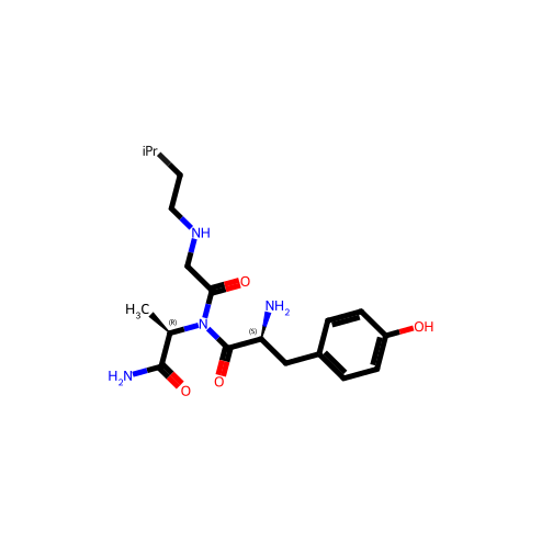 CC(C)CCNCC(=O)N(C(=O)[C@@H](N)Cc1ccc(O)cc1)[C@H](C)C(N)=O